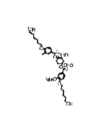 COc1cc(C(=O)OC2(C=O)CCC(C=O)(OC(=O)c3ccc(OCCCCCCO)c(C)c3)CC2)ccc1OCCCCCCO